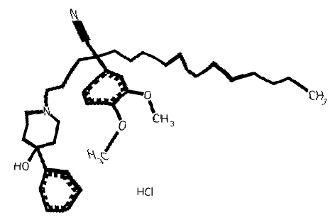 CCCCCCCCCCCCC(C#N)(CCCN1CCC(O)(c2ccccc2)CC1)c1ccc(OC)c(OC)c1.Cl